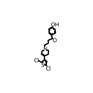 O=C(CCCN1CC=C(c2cc(Cl)sc2Cl)CC1)c1ccc(O)cc1